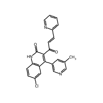 Cc1cncc(-c2c(C(=O)/C=C/c3ccccn3)c(=O)[nH]c3ccc(Cl)cc23)c1